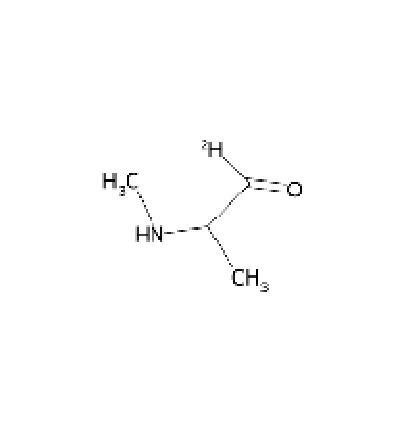 [2H]C(=O)C(C)NC